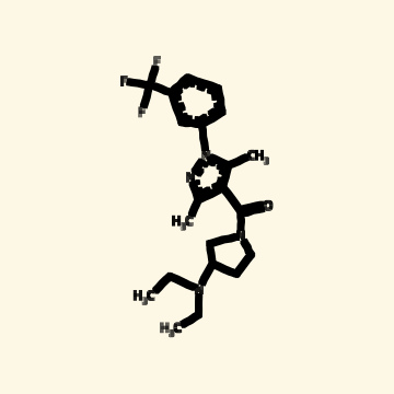 CCN(CC)C1CCN(C(=O)c2c(C)nn(-c3cccc(C(F)(F)F)c3)c2C)C1